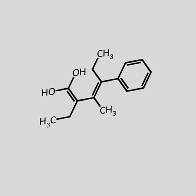 CCC(=C(O)O)C(C)=C(CC)c1ccccc1